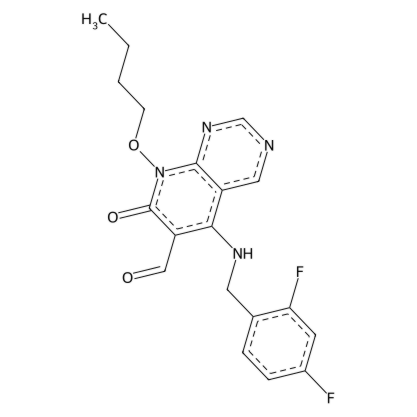 CCCCOn1c(=O)c(C=O)c(NCc2ccc(F)cc2F)c2cncnc21